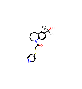 O=C(CSc1ccncc1)N1CCCCc2cc(C(O)(C(F)(F)F)C(F)(F)F)ccc21